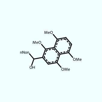 CCCCCCCCCC(O)c1cc(OC)c2c(OC)ccc(OC)c2c1OC